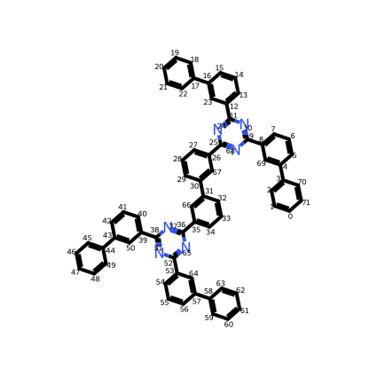 c1ccc(-c2cccc(-c3nc(-c4cccc(-c5ccccc5)c4)nc(-c4cccc(-c5cccc(-c6nc(-c7cccc(-c8ccccc8)c7)nc(-c7cccc(-c8ccccc8)c7)n6)c5)c4)n3)c2)cc1